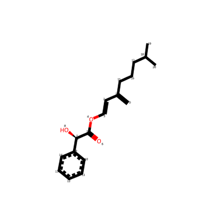 C=C(C=COC(=O)[C@H](O)c1ccccc1)CCCC(C)C